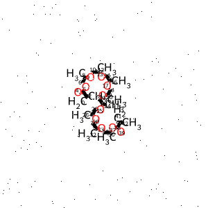 C=C(C)C(=O)OCC(C)OCC(C)OCC(C)OCC(C)OCC(C)OCC(C)OCC(C)OCC(C)OC(=O)C(=C)C